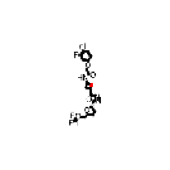 O=C(COc1ccc(Cl)c(F)c1)NC12CC(c3nnc([C@@H]4CCC(COC(F)(F)F)O4)o3)(C1)C2